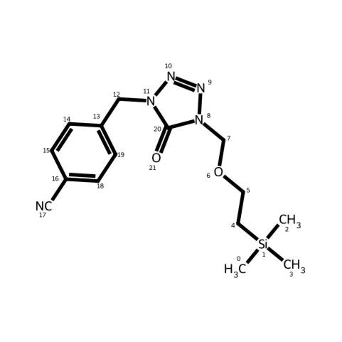 C[Si](C)(C)CCOCn1nnn(Cc2ccc(C#N)cc2)c1=O